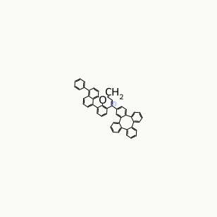 C=C/C=C(/c1ccc2c(c1)-c1ccccc1-c1ccccc1-c1ccccc1-2)c1cccc2c1Oc1ccc(-c3ccccc3)c3cccc-2c13